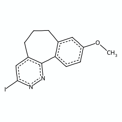 COc1ccc2c(c1)CCCc1cc(I)nnc1-2